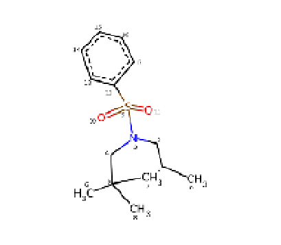 CCCN(CC(C)(C)C)S(=O)(=O)c1ccccc1